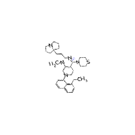 C=NC1=C(/C(=N\CCCC23CCCN2CCC3)N2CCSCC2)CCN(c2cccc3cccc(CC)c23)C1